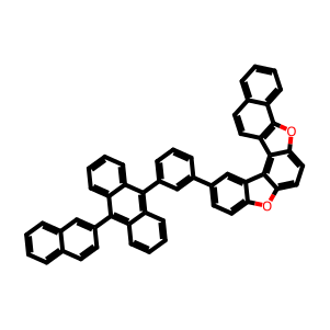 c1cc(-c2ccc3oc4ccc5oc6c7ccccc7ccc6c5c4c3c2)cc(-c2c3ccccc3c(-c3ccc4ccccc4c3)c3ccccc23)c1